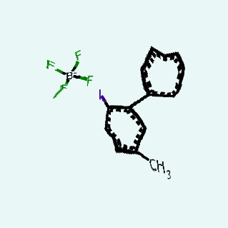 Cc1ccc(I)c(-c2ccccc2)c1.F[B-](F)(F)F